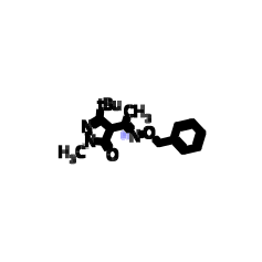 C/C(=N\OCc1ccccc1)C1C(=O)N(C)N=C1C(C)(C)C